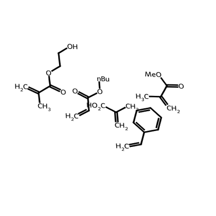 C=C(C)C(=O)O.C=C(C)C(=O)OC.C=C(C)C(=O)OCCO.C=CC(=O)OCCCC.C=Cc1ccccc1